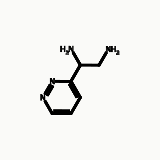 NCC(N)c1cccnn1